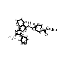 Cc1nc2c3c(c(NCC4(F)CCN(C(=O)OC(C)(C)C)CC4)nn2c1-c1ccncc1)CCCO3